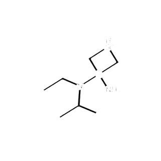 CCN(C(C)C)S1(N)C[SiH2]C1